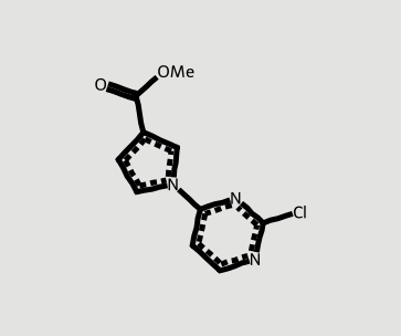 COC(=O)c1ccn(-c2ccnc(Cl)n2)c1